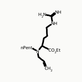 C=CCN(CCCCC)C(CCCNC(=N)N)C(=O)OCC